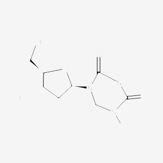 CN1CN([C@H]2C[C@H](O)[C@@H](CO)O2)C(=O)NC1=O